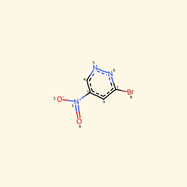 O=[N+]([O-])c1cnnc(Br)c1